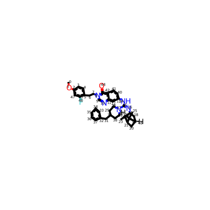 COc1ccc(CCn2cnc3cc(N/C(=N/C4C[C@@H]5CC([C@@H]4C)C5(C)C)N4CCC(Cc5ccccc5)CC4)ccc3c2=O)c(F)c1